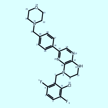 Fc1ccc(F)c(CN2CCNc3ncc(-c4ccc(CN5CCOCC5)cc4)nc32)c1Cl